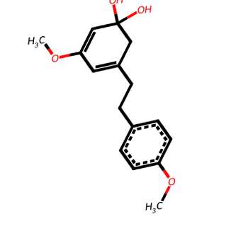 COC1=CC(O)(O)CC(CCc2ccc(OC)cc2)=C1